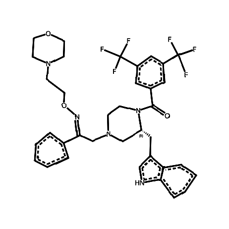 O=C(c1cc(C(F)(F)F)cc(C(F)(F)F)c1)N1CCN(CC(=NOCCN2CCOCC2)c2ccccc2)C[C@H]1Cc1c[nH]c2ccccc12